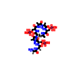 CC(=O)[C@H](C)NC(=O)[C@H](COP(=O)(O)O)NC(=O)[C@H](C)NC(=O)[C@H](C)NC(=O)[C@H](COP(=O)(O)O)NC(=O)[C@H](C)NC(=O)[C@H](C)NC(=O)[C@H](COP(=O)(O)O)NC(=O)[C@H](C)NC(=O)[C@H](C)N